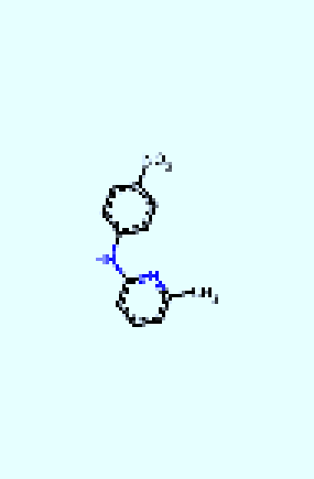 Cc1cccc(Nc2ccc([N+](=O)[O-])cc2)n1